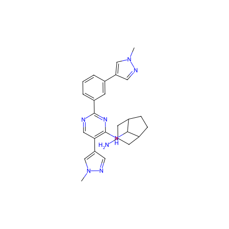 Cn1cc(-c2cccc(-c3ncc(-c4cnn(C)c4)c(NC4C5CCC4CC(N)C5)n3)c2)cn1